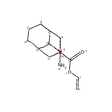 C=COC(=O)N1CC2CCCC(C1)C2CN